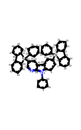 c1ccc(-n2c3ccc([Si]4(c5ccccc5)c5ccccc5-c5ccccc54)cc3c3cc([Si]4(c5ccccc5)c5ccccc5-c5ccccc54)cnc32)cc1